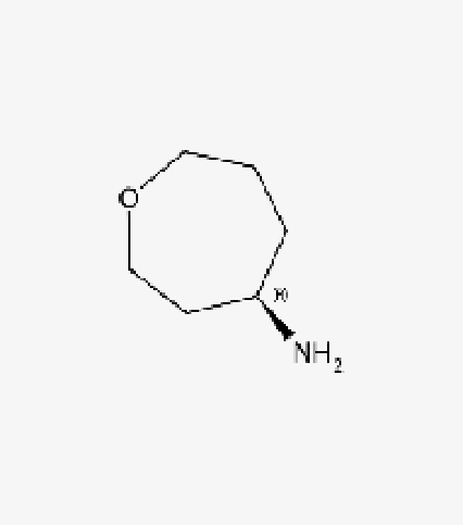 N[C@@H]1CCCOCC1